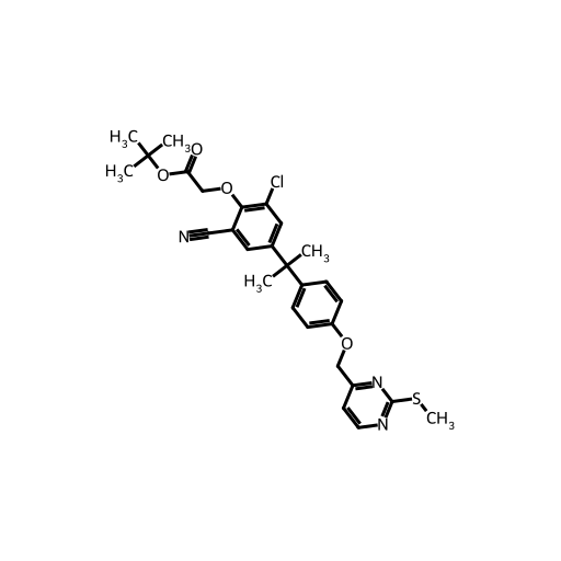 CSc1nccc(COc2ccc(C(C)(C)c3cc(Cl)c(OCC(=O)OC(C)(C)C)c(C#N)c3)cc2)n1